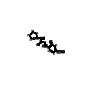 O=Cc1cnc(NCC(=O)NC2CCCCC2)c(Cl)c1